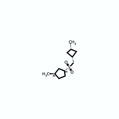 C[C@@H]1CC[C@@H](S(=O)(=O)C[C@H]2C[C@@H](C)C2)C1